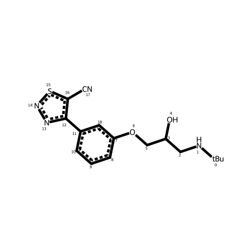 CC(C)(C)NCC(O)COc1cccc(-c2nnsc2C#N)c1